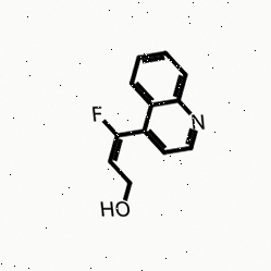 OC/C=C(/F)c1ccnc2ccccc12